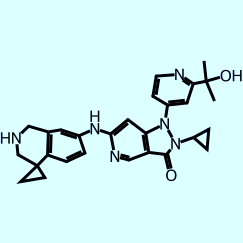 CC(C)(O)c1cc(-n2c3cc(Nc4ccc5c(c4)CNCC54CC4)ncc3c(=O)n2C2CC2)ccn1